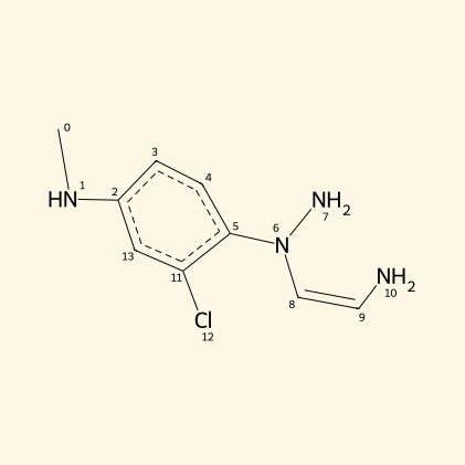 CNc1ccc(N(N)/C=C\N)c(Cl)c1